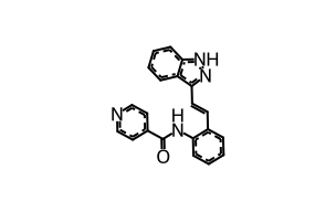 O=C(Nc1ccccc1C=Cc1n[nH]c2ccccc12)c1ccncc1